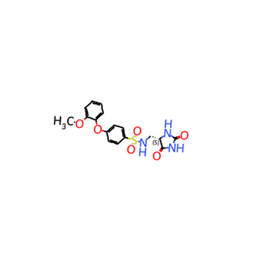 COc1ccccc1Oc1ccc(S(=O)(=O)NC[C@@H]2NC(=O)NC2=O)cc1